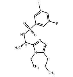 CCOc1nnc([C@@H](C)NS(=O)(=O)c2cc(F)cc(F)c2)n1CC